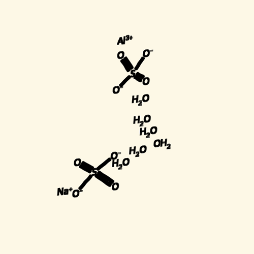 O.O.O.O.O.O.O=S(=O)([O-])[O-].O=S(=O)([O-])[O-].[Al+3].[Na+]